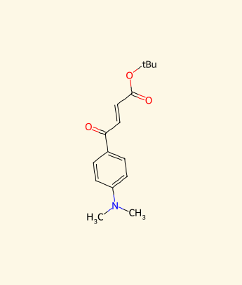 CN(C)c1ccc(C(=O)/C=C/C(=O)OC(C)(C)C)cc1